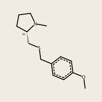 COc1ccc(CSC[C@@H]2CCCN2C)cc1